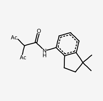 CC(=O)C(C(C)=O)C(=O)Nc1cccc2c1CCC2(C)C